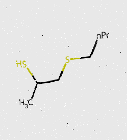 CCCCSCC(C)S